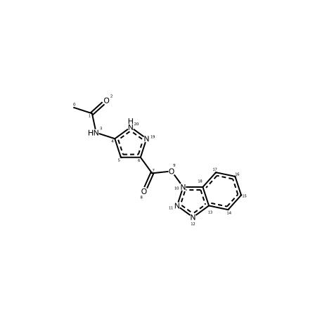 CC(=O)Nc1cc(C(=O)On2nnc3ccccc32)n[nH]1